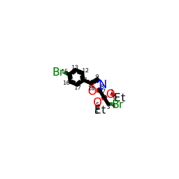 CCOC(CBr)(OCC)c1ncc(-c2ccc(Br)cc2)o1